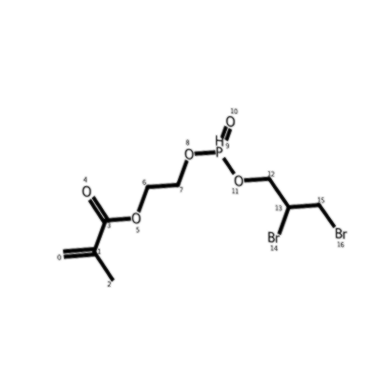 C=C(C)C(=O)OCCO[PH](=O)OCC(Br)CBr